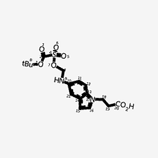 CC(C)(C)OC(=O)S(=O)(=O)OCNc1ccc2c(ccn2CCC(=O)O)c1